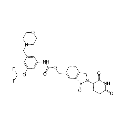 O=C1CCC(N2Cc3ccc(COC(=O)Nc4cc(CN5CCOCC5)cc(OC(F)F)c4)cc3C2=O)C(=O)N1